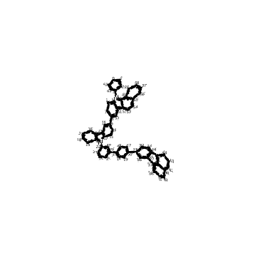 c1ccc(-n2c3ccc(-c4ccc5c(c4)c4ccccc4n5-c4cccc(-c5ccc(-c6ccc7c(c6)-c6cccc8cccc-7c68)cc5)c4)cc3c3ccc4ccccc4c32)cc1